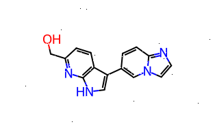 OCc1ccc2c(-c3ccc4nccn4c3)c[nH]c2n1